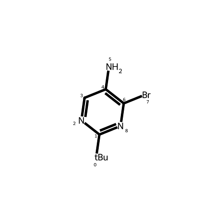 CC(C)(C)c1ncc(N)c(Br)n1